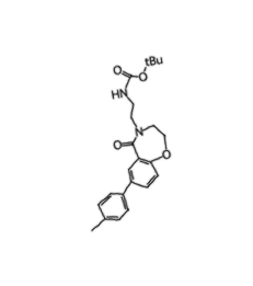 Cc1ccc(-c2ccc3c(c2)C(=O)N(CCNC(=O)OC(C)(C)C)CCO3)cc1